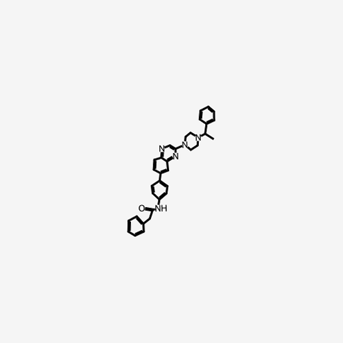 CC(c1ccccc1)N1CCN(c2cnc3ccc(-c4ccc(NC(=O)Cc5ccccc5)cc4)cc3n2)CC1